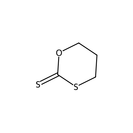 S=C1OCCCS1